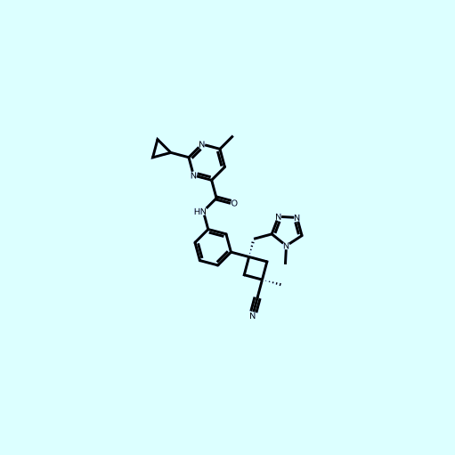 Cc1cc(C(=O)Nc2cccc([C@]3(Cc4nncn4C)C[C@](C)(C#N)C3)c2)nc(C2CC2)n1